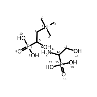 C[N+](C)(C)CC(O)P(=O)(O)O.NC(CO)P(=O)(O)O